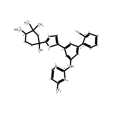 CC1(C)CC(O)(c2ncc(-c3cc(Nc4nccc(C(F)(F)F)n4)cc(-c4ccccc4F)c3)s2)CCC1C(=O)O